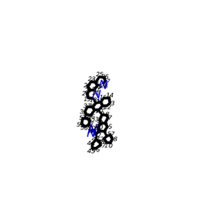 c1ccc(-c2cc3ccc(-c4c5ccccc5c(-c5ccc6ccc7cccnc7c6n5)c5ccccc45)cc3c3c2c(-c2ccccc2)nn3-c2ccccc2)cc1